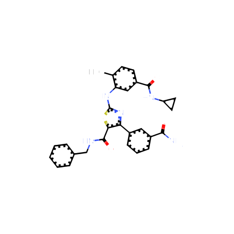 Cc1ccc(C(=O)NC2CC2)cc1Nc1nc(-c2cccc(C(N)=O)c2)c(C(=O)NCc2ccccc2)s1